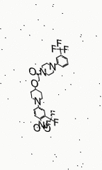 O=C(COC1CCN(c2ccc([N+](=O)[O-])c(C(F)(F)F)c2)CC1)N1CCN(c2cccc(C(F)(F)F)c2)CC1